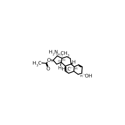 CC(=O)O[C@@H]1C[C@H]2C3=CCC4C[C@@H](O)C=C[C@]4(C)[C@H]3CC[C@]2(C)[C@H]1N